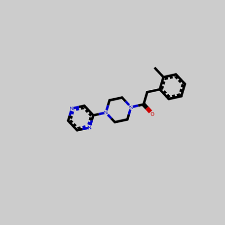 Cc1ccccc1CC(=O)N1CCN(c2cnccn2)CC1